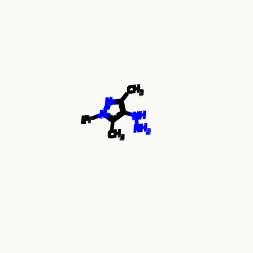 Cc1nn(C(C)C)c(C)c1NN